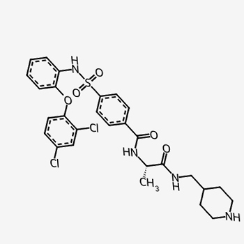 C[C@H](NC(=O)c1ccc(S(=O)(=O)Nc2ccccc2Oc2ccc(Cl)cc2Cl)cc1)C(=O)NCC1CCNCC1